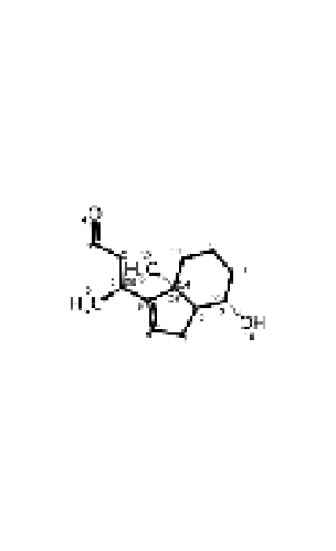 C[C@@H](CC=O)C1=CCC2[C@@H](O)CCC[C@]12C